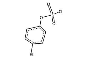 CCc1ccc(OS(=O)(=O)Cl)cc1